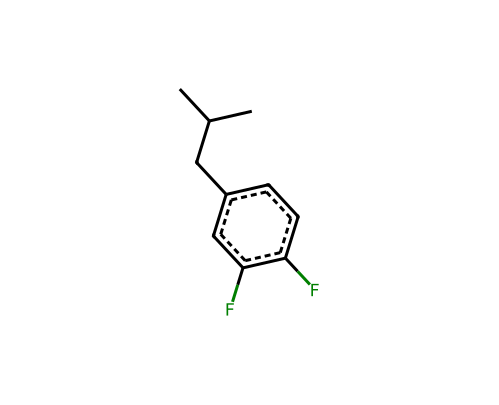 CC(C)Cc1ccc(F)c(F)c1